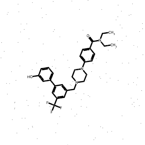 CCN(CC)C(=O)c1ccc(N2CCN(Cc3cc(-c4cccc(O)c4)cc(C(F)(F)F)c3)CC2)cc1